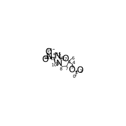 CC(=O)OCC1(C)CCn2cc([N+](=O)[O-])nc2O1